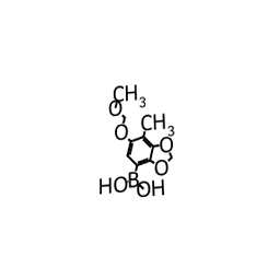 COCOc1cc(B(O)O)c2c(c1C)OCO2